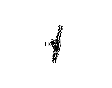 CC=COCCOOOOOCCCCCCCCCCCC.CC=COCCOOOOOCCCCCCCCCCCC.O=P(O)(O)O